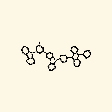 Cc1cc(-c2ccc3c(c2)c2ccccc2n3-c2ccc(-c3c4ccccc4c(-c4ccccc4)c4ccccc34)cc2)cc(-n2c3ccccc3c3ccccc32)c1